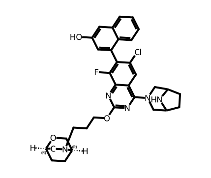 Oc1cc(-c2c(Cl)cc3c(N4CC5CCC(C4)N5)nc(OCCCN4C[C@H]5CC[C@@H]4CO5)nc3c2F)c2ccccc2c1